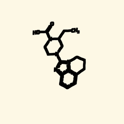 CCC1CN(c2nc3cccc4c3n2CCC4)CCN1C(=O)O